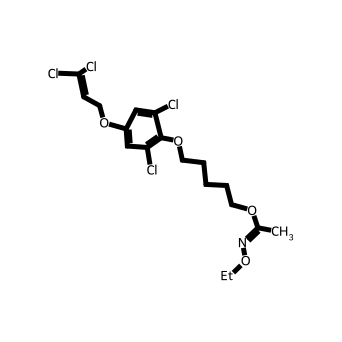 CCON=C(C)OCCCCCOc1c(Cl)cc(OCC=C(Cl)Cl)cc1Cl